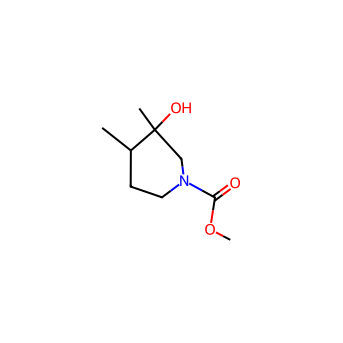 COC(=O)N1CCC(C)C(C)(O)C1